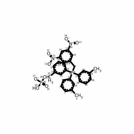 Cc1cccc([P+](Cc2cc([N+](=O)[O-])cc([N+](=O)[O-])c2)(c2cccc(C)c2)c2cccc(C)c2)c1.O=P([O-])(O)O